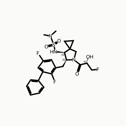 CN(C)S(=O)(=O)N[C@@H]1[C@H](Cc2cc(F)cc(-c3ccccc3)c2F)N(C(=O)[C@H](O)CF)CC12CC2